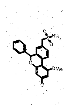 COc1cc(Cl)cc2c1-c1ccc(CS(N)(=O)=O)cc1C(c1ccccc1)O2